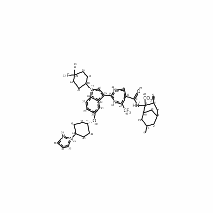 CC1CC2CC(C)C(NC(=O)c3cnc(-c4cn(C5CCC(F)(F)CC5)c5ccc(O[C@H]6CC[C@H](n7cccn7)CC6)cc45)nc3C(F)(F)F)(C(=O)O)C(C1)C2